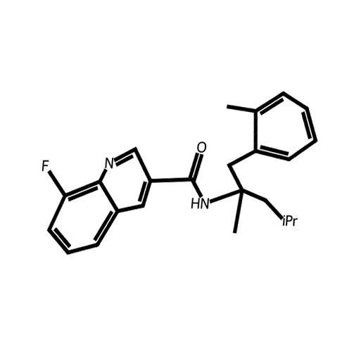 Cc1ccccc1CC(C)(CC(C)C)NC(=O)c1cnc2c(F)cccc2c1